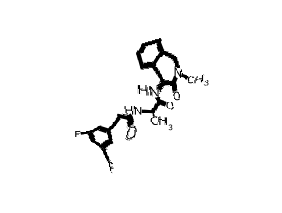 C[C@H](NC(=O)Cc1cc(F)cc(F)c1)C(=O)NC1C(=O)N(C)Cc2ccccc21